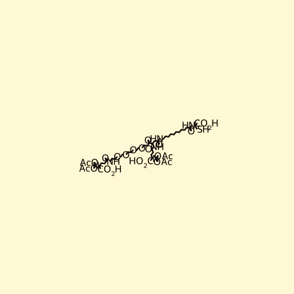 CC(=O)ON(OC(C)=O)C(CCC(=O)NCCOCCOCCOCCOCCC(=O)C(CC(=O)NCCCCCCCCCCC(=O)NC(CS)C(=O)O)NC(=O)CCC(C(=O)O)N(OC(C)=O)OC(C)=O)C(=O)O